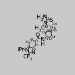 CC(C)n1c(C(F)(F)F)nc2cc(C(=O)Nc3ccc(F)c(C4(C)CCSC(N)=N4)c3)ccc21